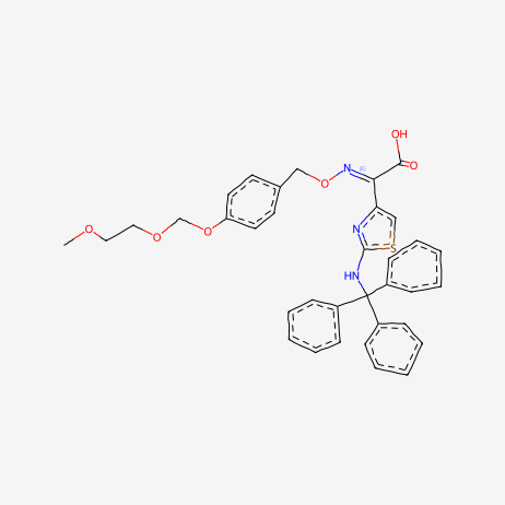 COCCOCOc1ccc(CO/N=C(/C(=O)O)c2csc(NC(c3ccccc3)(c3ccccc3)c3ccccc3)n2)cc1